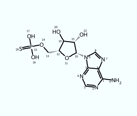 Nc1ncnc2c1ncn2[C@@H]1O[C@H](COP(O)(O)=S)C(O)[C@@H]1O